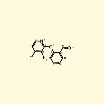 Cc1ccnc(Oc2ccccc2C=O)c1F